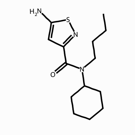 CCCCN(C(=O)c1cc(N)sn1)C1CCCCC1